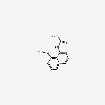 CCCCCCCC(=O)Nc1nccc2cccc(NC(=O)O)c12